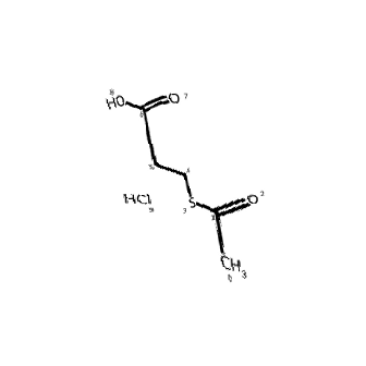 CC(=O)SCCC(=O)O.Cl